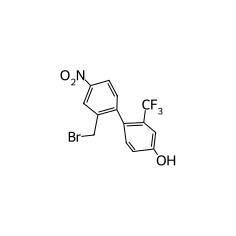 O=[N+]([O-])c1ccc(-c2ccc(O)cc2C(F)(F)F)c(CBr)c1